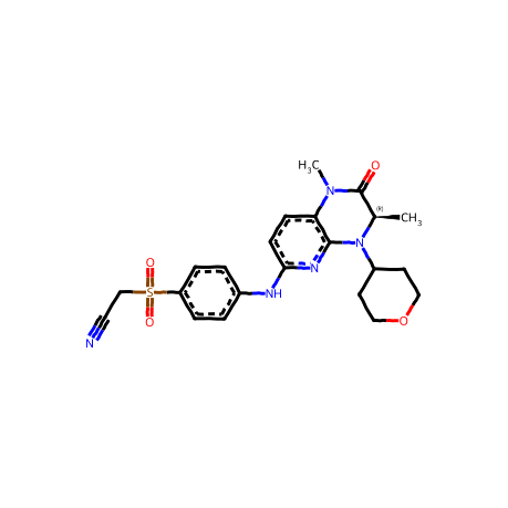 C[C@@H]1C(=O)N(C)c2ccc(Nc3ccc(S(=O)(=O)CC#N)cc3)nc2N1C1CCOCC1